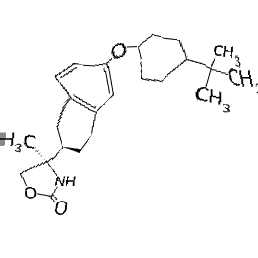 CC(C)(C)C1CCC(Oc2ccc3c(c2)CC[C@@H]([C@]2(C)COC(=O)N2)C3)CC1